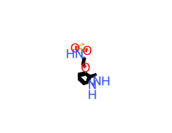 CS(=O)(=O)NCCOc1cccc2c1CNN2